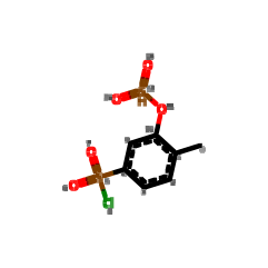 Cc1ccc(S(=O)(=O)Cl)cc1O[SH](=O)=O